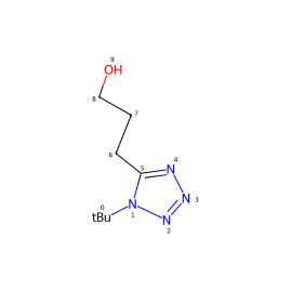 CC(C)(C)n1nnnc1CCCO